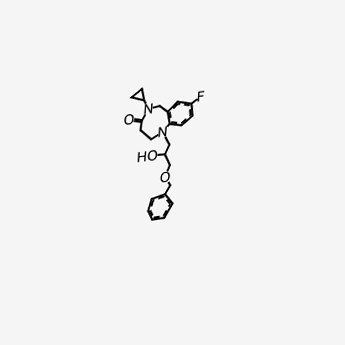 O=C1CCN(CC(O)COCc2ccccc2)c2ccc(F)cc2CN1C1CC1